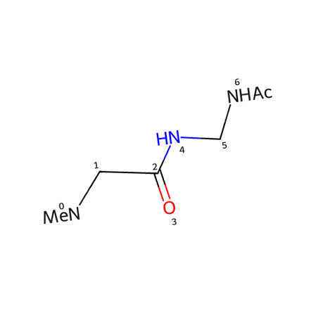 CNCC(=O)NCNC(C)=O